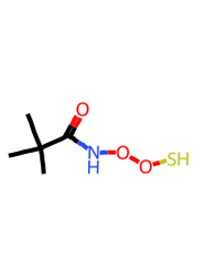 CC(C)(C)C(=O)NOOS